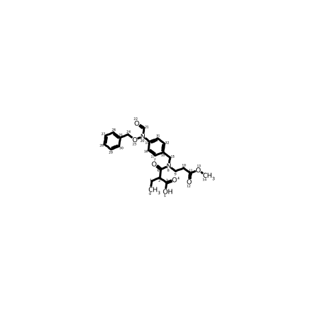 CCC(C(=O)O)C(=O)N(CCC(=O)OC)Cc1ccc(N(C=O)OCc2ccccc2)cc1